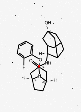 O=C(N[C@H]1C2CC3CC1C[C@](O)(C3)C2)N1[C@@H]2CC[C@H]1C[C@H](Oc1ccccc1F)C2